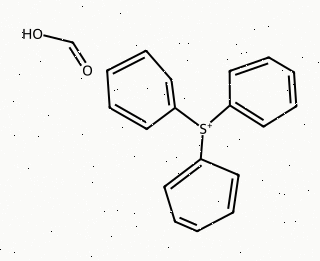 O=CO.c1ccc([S+](c2ccccc2)c2ccccc2)cc1